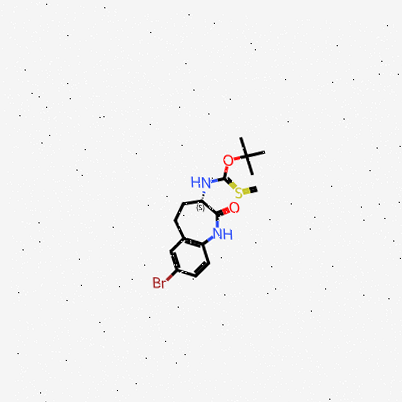 C=S=C(N[C@H]1CCc2cc(Br)ccc2NC1=O)OC(C)(C)C